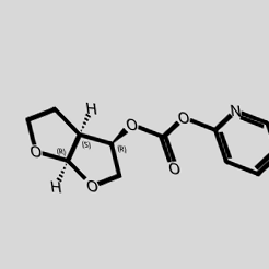 O=C(Oc1ccccn1)O[C@H]1CO[C@H]2OCC[C@H]21